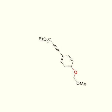 CCOC(=O)C#Cc1ccc(OCOC)cc1